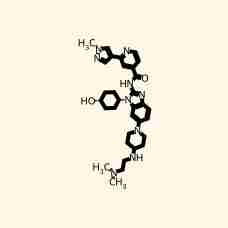 CN(C)CCNC1CCN(c2ccc3nc(NC(=O)c4ccnc(-c5cnn(C)c5)c4)n([C@H]4CC[C@@H](O)CC4)c3c2)CC1